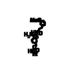 CCNC(=O)OCC1CCc2c(sc(NC(=O)CCc3cccc(OC)c3)c2N)C1